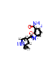 NC(=O)c1cccc2nc(C3CCNC4(CC4)C3)oc12